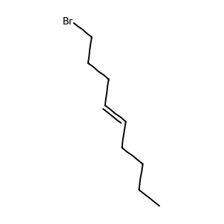 CCCCC=CCCCBr